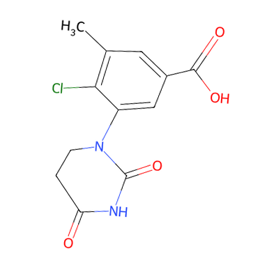 Cc1cc(C(=O)O)cc(N2CCC(=O)NC2=O)c1Cl